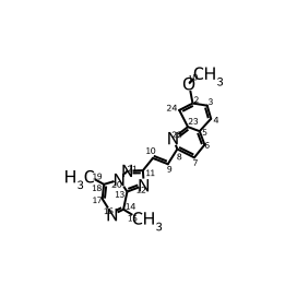 COc1ccc2ccc(C=Cc3nc4c(C)ncc(C)n4n3)nc2c1